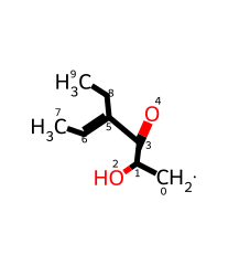 [CH2]C(O)C(=O)C(=CC)CC